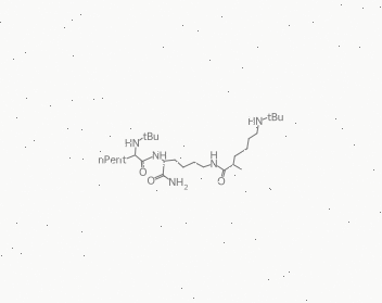 CCCCCC(NC(C)(C)C)C(=O)NC(CCCCNC(=O)C(C)CCCCNC(C)(C)C)C(N)=O